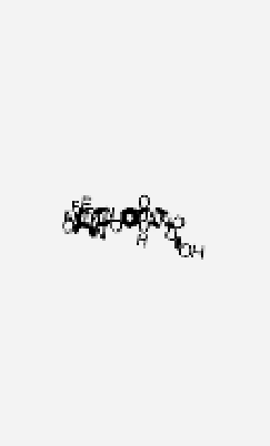 O=C(OCCO)N1CCN(C(=O)c2ccc(Oc3nccn4c(-c5conc5C(F)(F)F)cnc34)cc2O)CC1